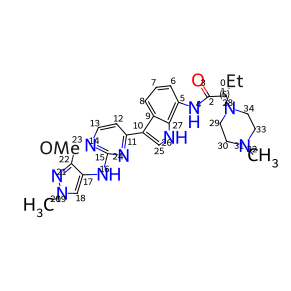 CC[C@@H](C(=O)Nc1cccc2c(-c3ccnc(Nc4cn(C)nc4OC)n3)c[nH]c12)N1CCN(C)CC1